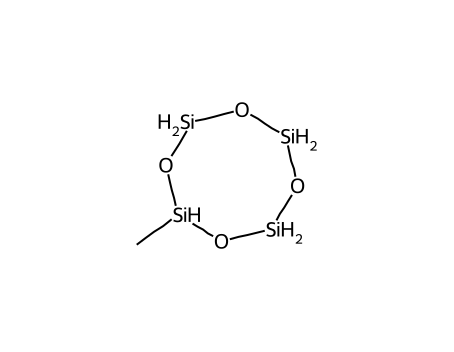 C[SiH]1O[SiH2]O[SiH2]O[SiH2]O1